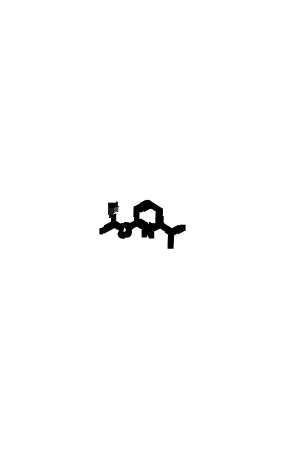 CC(F)Oc1cccc(C(C)C)n1